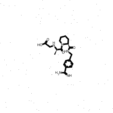 C[C@@H](NCC(=O)O)C(=O)N1CCCC[C@H]1C(=O)NCc1ccc(C(=N)N)cc1